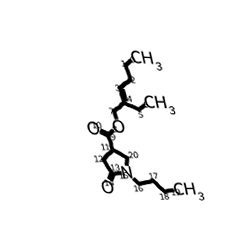 CCC/C=C(\CC)COC(=O)C1CC(=O)N(CCCC)C1